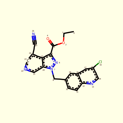 CCOC(=O)c1nn(Cc2ccc3ncc(Cl)cc3c2)c2cncc(C#N)c12